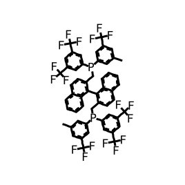 Cc1cc(P(Cc2ccc3ccccc3c2-c2c(CP(c3cc(C)cc(C(F)(F)F)c3)c3cc(C(F)(F)F)cc(C(F)(F)F)c3)ccc3ccccc23)c2cc(C(F)(F)F)cc(C(F)(F)F)c2)cc(C(F)(F)F)c1